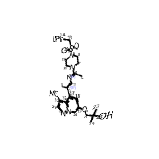 C/C(=C\N=C(/C)N1CCN(S(=O)(=O)CC(C)C)CC1)c1cc(OCC(C)(C)O)cn2ncc(C#N)c12